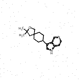 CC1(C)CC2(CCC(c3c[nH]c4ccncc34)CC2)CO1